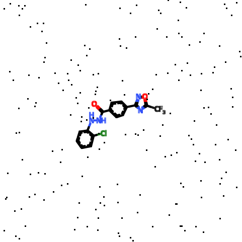 O=C(NNc1ccccc1Cl)c1ccc(-c2noc(C(F)(F)F)n2)cc1